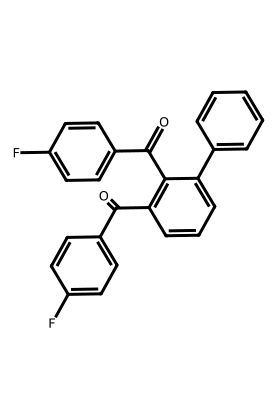 O=C(c1ccc(F)cc1)c1cccc(-c2ccccc2)c1C(=O)c1ccc(F)cc1